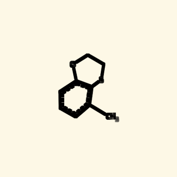 Cc1cccc2c1SCCO2